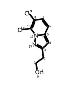 OCCc1cc2ccc(Cl)c(Cl)n2n1